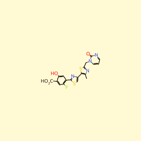 Cc1nc(Cn2cccnc2=O)sc1-c1csc(-c2cc(O)c(C(=O)O)cc2F)n1